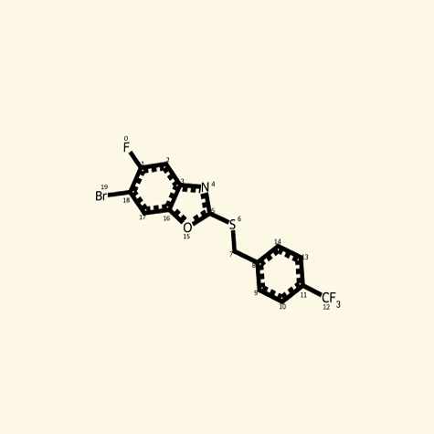 Fc1cc2nc(SCc3ccc(C(F)(F)F)cc3)oc2cc1Br